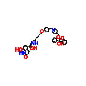 O=C(OCC1CCN(Cc2ccc(OCCCCCCNC[C@H](O)c3ccc(O)c4[nH]c(=O)ccc34)cc2)CC1)C(O)(c1ccccc1)c1ccccc1